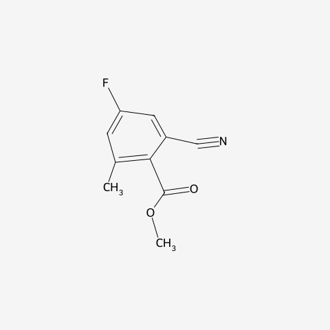 COC(=O)c1c(C)cc(F)cc1C#N